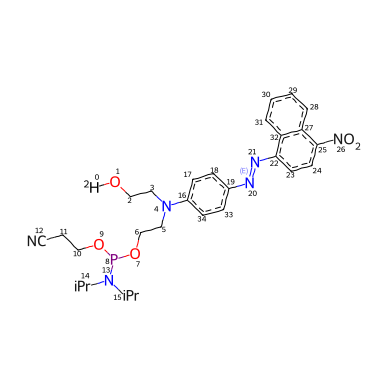 [2H]OCCN(CCOP(OCCC#N)N(C(C)C)C(C)C)c1ccc(/N=N/c2ccc([N+](=O)[O-])c3ccccc23)cc1